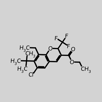 CCOC(=O)C1=Cc2cc(Cl)c(C(C)(C)C)c(CC)c2OC1C(F)(F)F